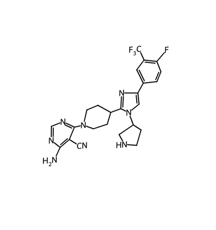 N#Cc1c(N)ncnc1N1CCC(c2nc(-c3ccc(F)c(C(F)(F)F)c3)cn2C2CCNC2)CC1